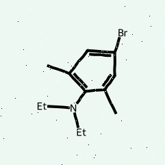 CCN(CC)c1c(C)cc(Br)cc1C